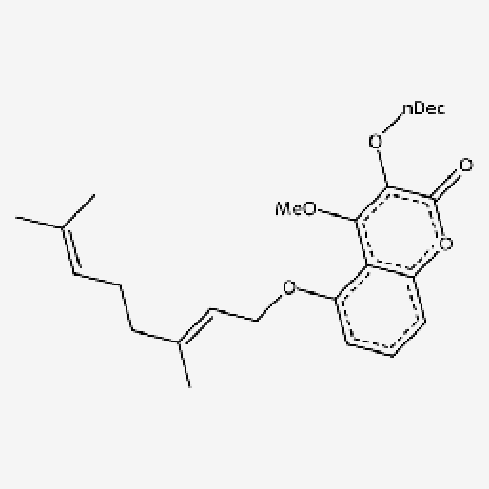 CCCCCCCCCCOc1c(OC)c2c(OC/C=C(\C)CCC=C(C)C)cccc2oc1=O